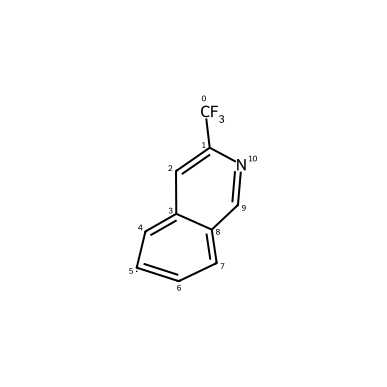 FC(F)(F)c1cc2c[c]ccc2cn1